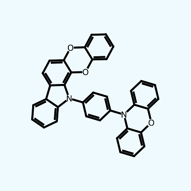 c1ccc2c(c1)Oc1ccc3c4ccccc4n(-c4ccc(N5c6ccccc6Oc6ccccc65)cc4)c3c1O2